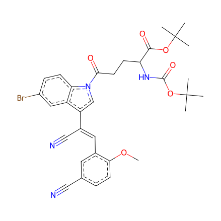 COc1ccc(C#N)cc1/C=C(\C#N)c1cn(C(=O)CCC(NC(=O)OC(C)(C)C)C(=O)OC(C)(C)C)c2ccc(Br)cc12